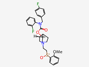 COc1ccccc1[S+]([O-])CC[N+]12CCC(CC1)[C@@H](OC(=O)N(Cc1ccc(F)cc1)c1ccccc1F)C2